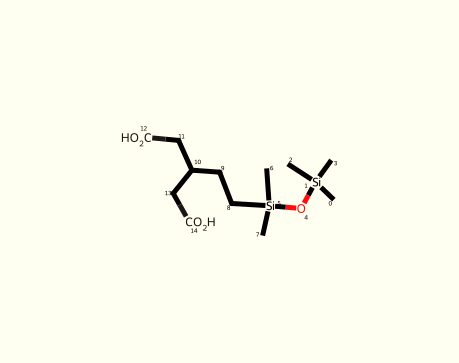 C[Si](C)(C)O[Si](C)(C)CCC(CC(=O)O)CC(=O)O